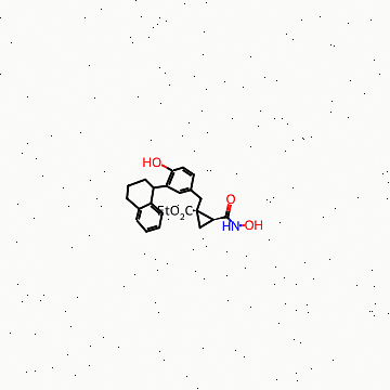 CCOC(=O)[C@@]1(Cc2ccc(O)c(C3CCCc4ccccc43)c2)C[C@@H]1C(=O)NO